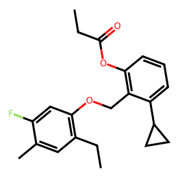 CCC(=O)Oc1cccc(C2CC2)c1COc1cc(F)c(C)cc1CC